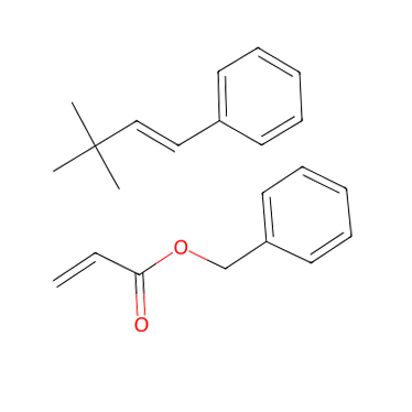 C=CC(=O)OCc1ccccc1.CC(C)(C)C=Cc1ccccc1